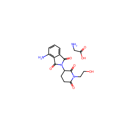 NCC(=O)O.Nc1cccc2c1C(=O)N(C1CCC(=O)N(CCO)C1=O)C2=O